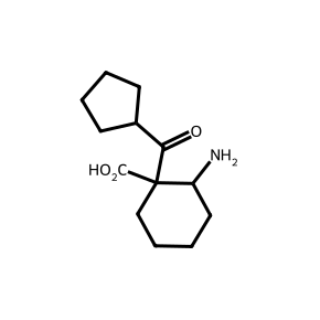 NC1CCCCC1(C(=O)O)C(=O)C1CCCC1